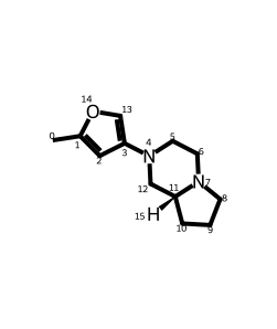 Cc1cc(N2CCN3CCC[C@@H]3C2)co1